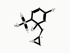 O=S(=O)(O)C1C=CC(Cl)=CC1(Cl)C[C@H]1CO1